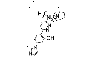 CN(c1ccc(-c2ccc(-n3ccnc3)cc2O)nn1)C1CC2CCC(C1)N2C